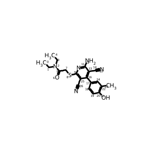 CCN(CC)C(=O)CSc1nc(N)c(C#N)c(-c2ccc(O)c(C)c2)c1C#N